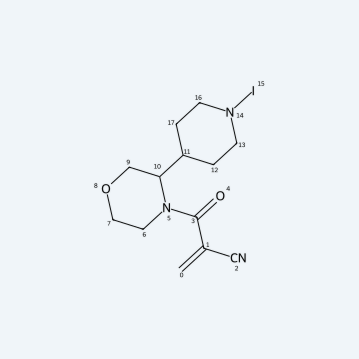 C=C(C#N)C(=O)N1CCOCC1C1CCN(I)CC1